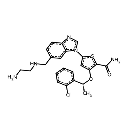 C[C@@H](Oc1cc(-n2cnc3ccc(CNCCN)cc32)sc1C(N)=O)c1ccccc1Cl